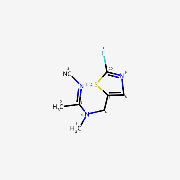 CC(=NC#N)N(C)Cc1cnc(F)s1